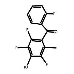 O=C(c1ccc[c]c1F)c1c(F)c(F)c(O)c(F)c1F